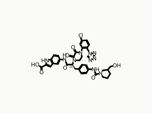 O=C(O)c1cc2cc(NC(=O)[C@H](Cc3ccc(NC(=O)N4CCCC(CO)C4)cc3)N3CCN(c4cc(Cl)ccc4-n4cnnn4)C(=O)C3=O)ccc2[nH]1